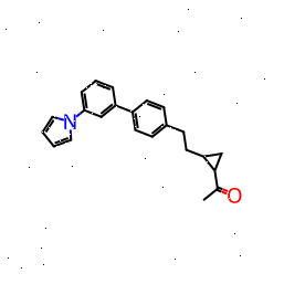 CC(=O)C1CC1CCc1ccc(-c2cccc(-n3cccc3)c2)cc1